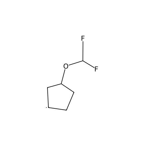 FC(F)OC1C[CH]CC1